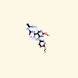 C=C(N)/N=C(C)\N=C(/N)c1cnc(OC)nc1Nc1ccc(OC)nc1